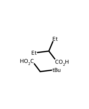 CC(C)(C)CC(=O)O.CCC(CC)C(=O)O